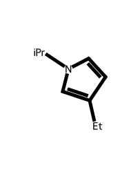 CCc1ccn(C(C)C)c1